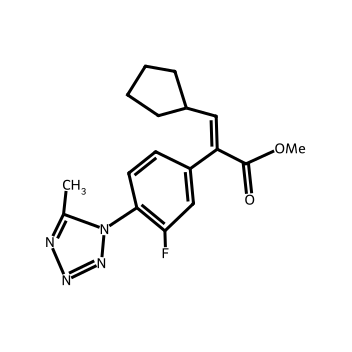 COC(=O)/C(=C/C1CCCC1)c1ccc(-n2nnnc2C)c(F)c1